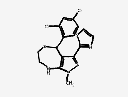 Cn1nc(-c2nccs2)c2c1NCCSC2c1ccc(Cl)cc1Cl